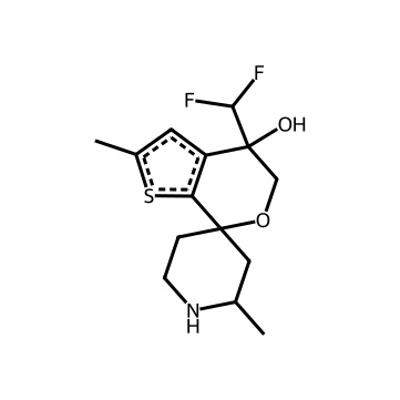 Cc1cc2c(s1)C1(CCNC(C)C1)OCC2(O)C(F)F